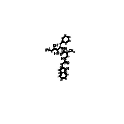 CC(C)C[C@H](O)[C@H](O)[C@H](CC1CCCCC1)NC(=O)[C@@H](C)CNC(=O)Cc1cc2ccccc2[nH]1